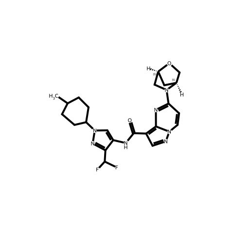 CC1CCC(n2cc(NC(=O)c3cnn4ccc(N5C[C@@H]6C[C@H]5CO6)nc34)c(C(F)F)n2)CC1